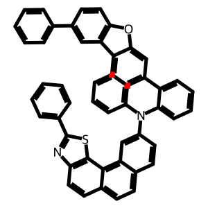 c1ccc(-c2ccc3oc4cc(-c5ccccc5N(c5ccccc5)c5ccc6ccc7ccc8nc(-c9ccccc9)sc8c7c6c5)ccc4c3c2)cc1